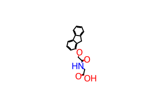 O=C(O)CNC(=O)COc1cccc2c1Cc1ccccc1-2